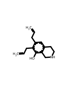 C=CCc1cc2c(c(O)c1CC=C)CNCC2